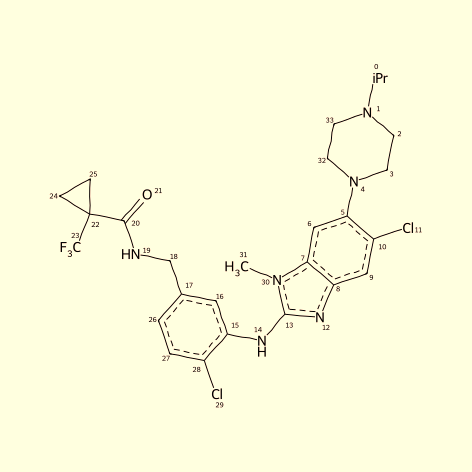 CC(C)N1CCN(c2cc3c(cc2Cl)nc(Nc2cc(CNC(=O)C4(C(F)(F)F)CC4)ccc2Cl)n3C)CC1